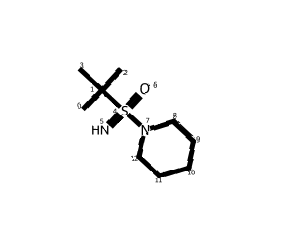 CC(C)(C)S(=N)(=O)N1CCCCC1